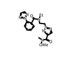 CCN(CCn1ncc(C(=O)N(C)OC)n1)C(=O)c1ccccc1-n1nccn1